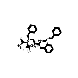 CC(C)(C)N(C(=O)O)N(Cc1ccccc1)C[C@H](O)[C@H](Cc1ccccc1)NC(=O)OCc1ccccc1